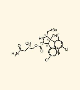 CC(C)(C)C[C@@H]1N[C@@H](C(=O)OC[C@@H](O)CC(N)=O)[C@H](c2cccc(Cl)c2)[C@@]1(C#N)c1cc(F)c(Cl)cc1F